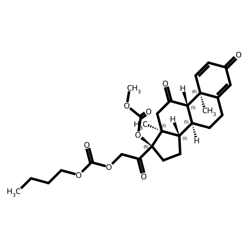 CCCCOC(=O)OCC(=O)[C@@]1(OC(=O)OC)CC[C@H]2[C@@H]3CCC4=CC(=O)C=C[C@]4(C)[C@H]3C(=O)C[C@@]21C